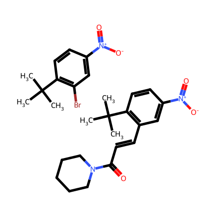 CC(C)(C)c1ccc([N+](=O)[O-])cc1Br.CC(C)(C)c1ccc([N+](=O)[O-])cc1C=CC(=O)N1CCCCC1